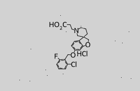 Cl.O=C(O)CCN1CCCC2(COc3cc(OCc4c(F)cccc4Cl)ccc32)C1